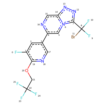 Fc1cc(-c2cn3c(C(F)(F)Br)nnc3cn2)cnc1OCC(F)(F)F